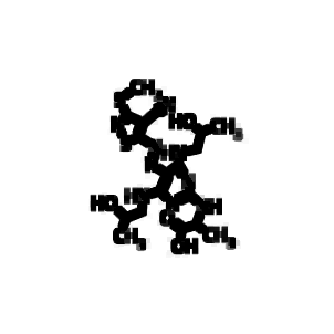 CSc1nsc(N=Nc2c(NCC(C)O)nc(NC(C)C(=O)O)nc2NCC(C)O)c1C#N